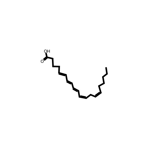 CCCCC/C=C\C\C=C/C=C/C=C/C=C/CCCC(=O)O